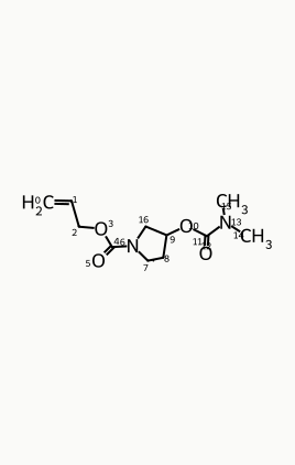 C=CCOC(=O)N1[CH]CC(OC(=O)N(C)C)C1